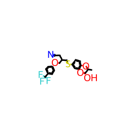 CC(Oc1ccc(SCC(CC#N)COc2ccc(C(F)(F)F)cc2)cc1)C(=O)O